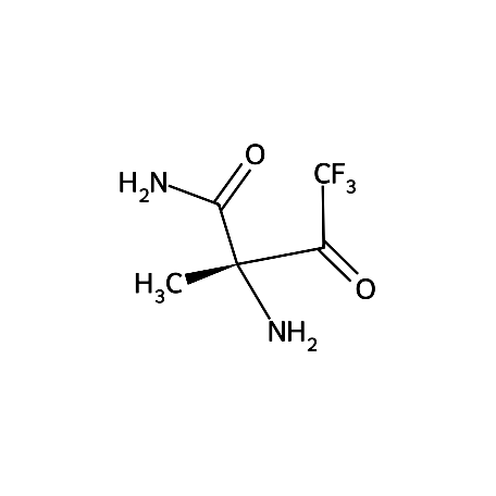 C[C@@](N)(C(N)=O)C(=O)C(F)(F)F